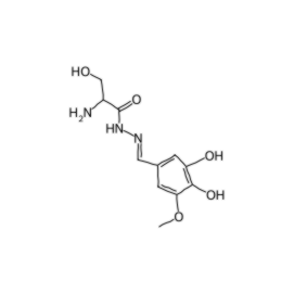 COc1cc(C=NNC(=O)C(N)CO)cc(O)c1O